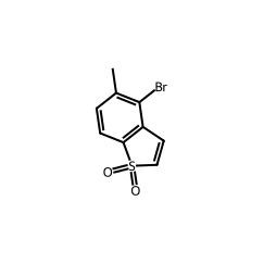 Cc1ccc2c(c1Br)C=CS2(=O)=O